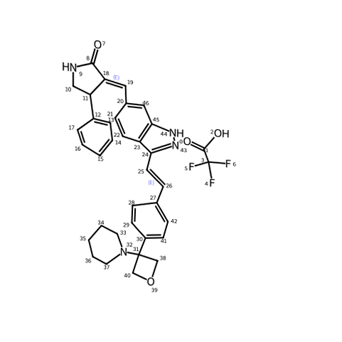 O=C(O)C(F)(F)F.O=C1NCC(c2ccccc2)/C1=C\c1ccc2c(/C=C/c3ccc(C4(N5CCCCC5)COC4)cc3)n[nH]c2c1